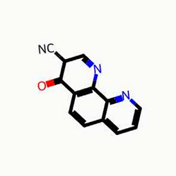 N#CC1C=Nc2c(ccc3cccnc23)C1=O